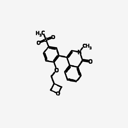 Cn1cc(-c2cc(S(C)(=O)=O)ccc2OCC2COC2)c2ccccc2c1=O